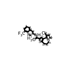 NC[C@H](Cc1cccc(C(F)(F)F)c1)NC(=O)c1cc2c(s1)CCCn1ncc(Cl)c1-2